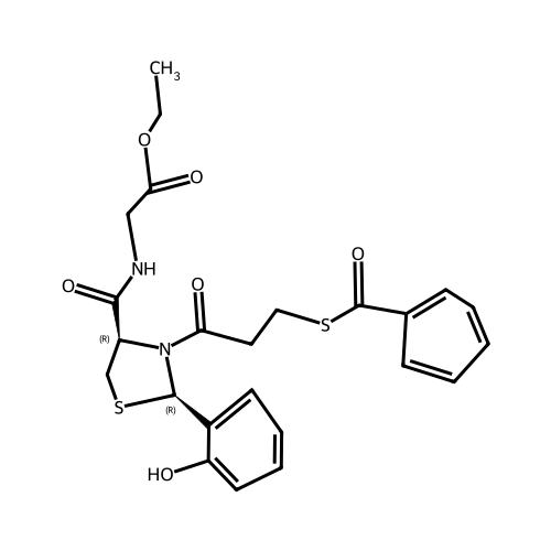 CCOC(=O)CNC(=O)[C@@H]1CS[C@H](c2ccccc2O)N1C(=O)CCSC(=O)c1ccccc1